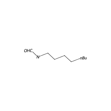 CCCCCCCC[N]C=O